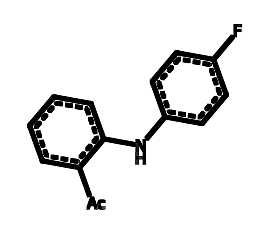 CC(=O)c1ccccc1Nc1ccc(F)cc1